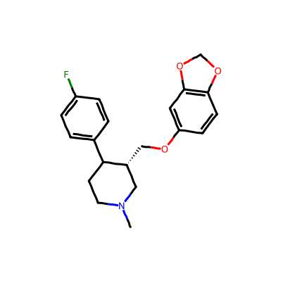 CN1CCC(c2ccc(F)cc2)[C@H](COc2ccc3c(c2)OCO3)C1